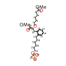 COC(=O)CCCCCOC(Cc1ccccc1CCCCCCOS(C)(=O)=O)C(=O)OC